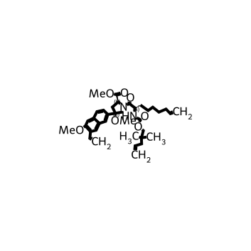 C=CCCCCC[C@H](NC(=O)OCC(C)(C)CC=C)C(=O)N1C[C@](OC)(c2ccc3cc(OC)c(C=C)cc3c2)C[C@H]1C(=O)OC